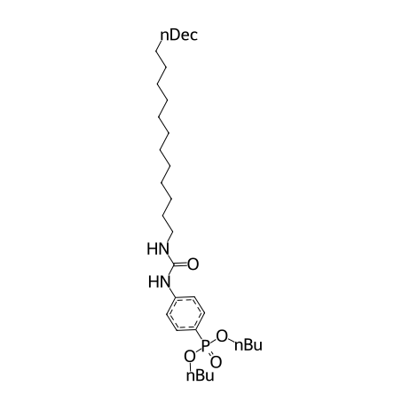 CCCCCCCCCCCCCCCCCCCCCCNC(=O)Nc1ccc(P(=O)(OCCCC)OCCCC)cc1